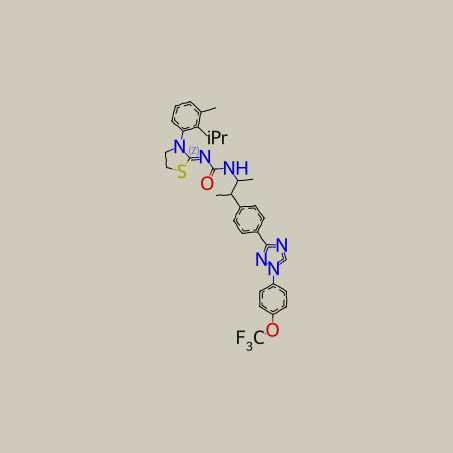 Cc1cccc(N2CCS/C2=N\C(=O)NC(C)C(C)c2ccc(-c3ncn(-c4ccc(OC(F)(F)F)cc4)n3)cc2)c1C(C)C